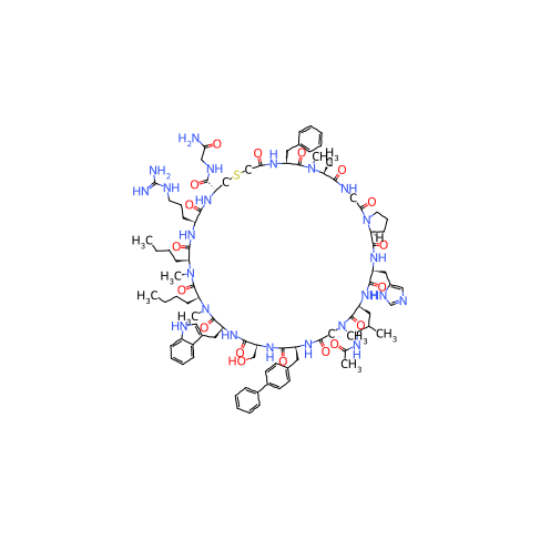 CCCC[C@H]1C(=O)N(C)[C@@H](CCCC)C(=O)N[C@@H](CCCNC(=N)N)C(=O)N[C@H](C(=O)NCC(N)=O)CSCC(=O)N[C@@H](Cc2ccccc2)C(=O)N(C)[C@@H](C)C(=O)NCC(=O)N2CCC[C@H]2C(=O)N[C@@H](Cc2cnc[nH]2)C(=O)N[C@@H](CC(C)CNC(C)=O)C(=O)N(C)CC(=O)N[C@@H](Cc2ccc(-c3ccccc3)cc2)C(=O)N[C@@H](CO)C(=O)N[C@@H](Cc2c[nH]c3ccccc23)C(=O)N1C